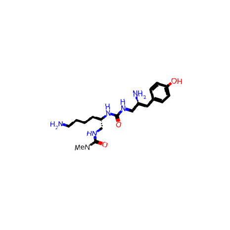 CNC(=O)NC[C@H](CCCCN)NC(=O)NC[C@@H](N)Cc1ccc(O)cc1